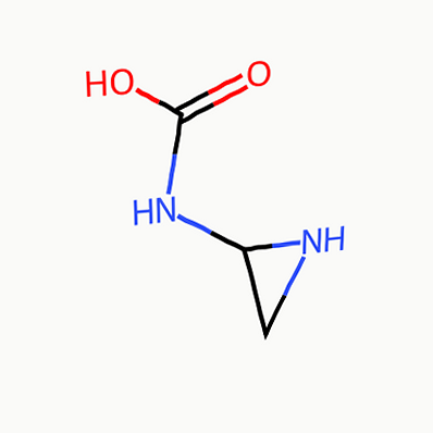 O=C(O)NC1CN1